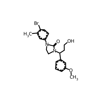 COc1cccc(C(CCO)N2CCN(c3ccc(Br)c(C)c3)C2=O)c1